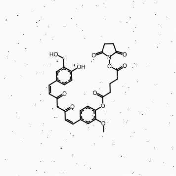 COc1cc(/C=C\C(=O)CC(=O)/C=C\c2ccc(O)c(CO)c2)ccc1OC(=O)CCCC(=O)ON1C(=O)CCC1=O